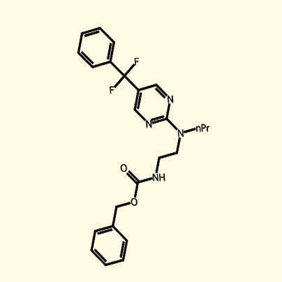 CCCN(CCNC(=O)OCc1ccccc1)c1ncc(C(F)(F)c2ccccc2)cn1